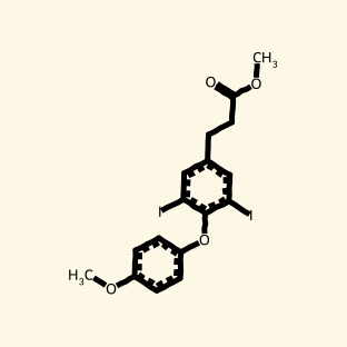 COC(=O)CCc1cc(I)c(Oc2ccc(OC)cc2)c(I)c1